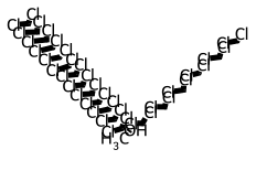 CO.ClCCl.ClCCl.ClCCl.ClCCl.ClCCl.ClCCl.ClCCl.ClCCl.ClCCl.ClCCl.ClCCl.ClCCl.ClCCl.ClCCl.ClCCl.ClCCl.ClCCl.ClCCl.ClCCl